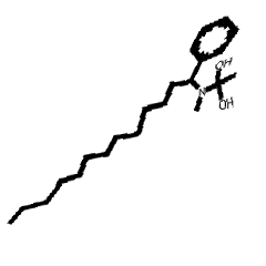 CCCCCCCCCCCCC(c1ccccc1)N(C)C(C)(O)O